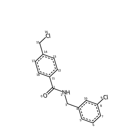 O=C(NCc1cccc(Cl)c1)c1ccc(CCl)cc1